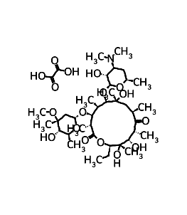 CC[C@H]1OC(=O)[C@H](C)[C@@H](O[C@H]2C[C@@](C)(OC)[C@@H](O)[C@H](C)O2)[C@@H](C)[C@@H](O[C@@H]2O[C@H](C)C[C@H](N(C)C)[C@H]2O)[C@](C)(O)C[C@@H](C)C(=O)[C@H](C)[C@H](O)[C@]1(C)O.O=C(O)C(=O)O